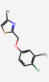 CC(C)c1csc(COc2ccc(Cl)c([N+](=O)[O-])c2)n1